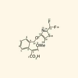 CO/C=C(/C(=O)O)c1ccccc1COc1nc(C(F)F)sc1C